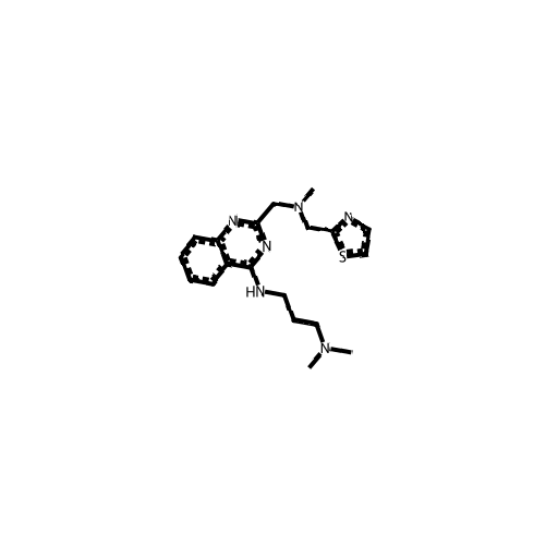 CN(C)CCCNc1nc(CN(C)Cc2nccs2)nc2ccccc12